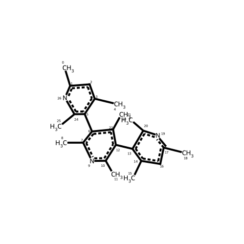 Cc1cc(C)c(-c2c(C)nc(C)c(-c3c(C)cc(C)nc3C)c2C)c(C)n1